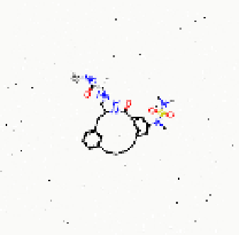 CCNC(=O)[C@H](C)NCC1Cc2cccc(c2)CCCCc2cc(cc(N(C)S(=O)(=O)N(C)C)c2)C(=O)N1